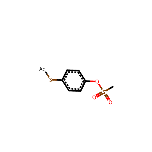 CC(=O)Sc1ccc(OS(C)(=O)=O)cc1